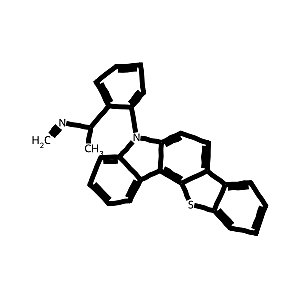 C=NC(C)c1ccccc1-n1c2ccccc2c2c3sc4ccccc4c3ccc21